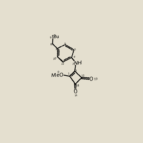 COc1c(Nc2ccc([CH]C(C)(C)C)cc2)c(=O)c1=O